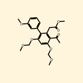 COCOc1cc(OCOC)c(-c2cccc(OC)c2)c(CC(=O)OC)c1C(C)=O